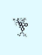 CCN(CC)c1ccc2c(-c3ccccc3C(=O)OC(C)(C)C)c3ccc(=[N+](CC)CC)cc-3oc2c1